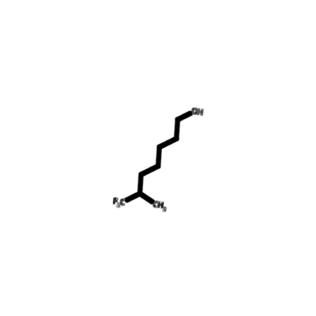 CC(CCCCCO)C(F)(F)F